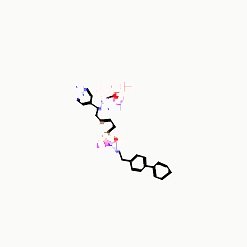 O=C(O)C(=O)NC(Cc1ccc(S(=O)(=O)NCCc2ccc(-c3ccccc3)cc2)s1)c1ccncc1